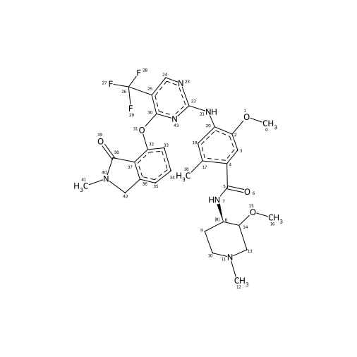 COc1cc(C(=O)N[C@@H]2CCN(C)CC2OC)c(C)cc1Nc1ncc(C(F)(F)F)c(Oc2cccc3c2C(=O)N(C)C3)n1